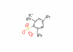 CC(C)c1cc(C(C)C)c(S(=O)(=O)[O-])c(C(C)C)c1.[K+]